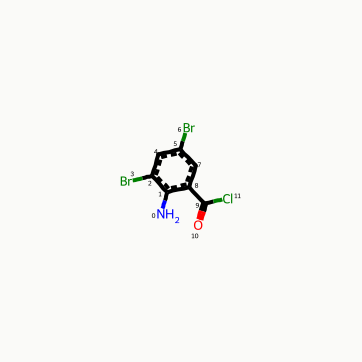 Nc1c(Br)cc(Br)cc1C(=O)Cl